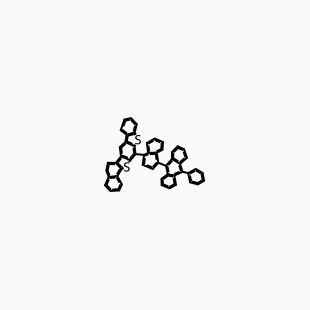 c1ccc(-c2c3ccccc3c(-c3ccc(-c4c5sc6ccccc6c5cc5c4sc4c6ccccc6ccc54)c4ccccc34)c3ccccc23)cc1